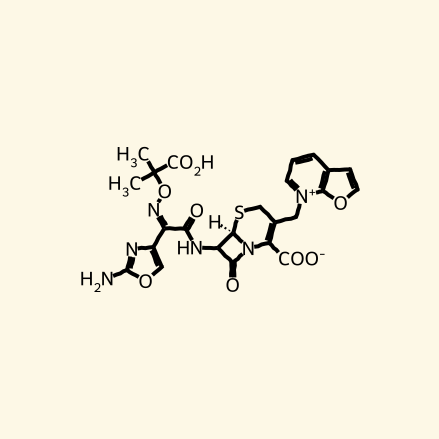 CC(C)(O/N=C(\C(=O)NC1C(=O)N2C(C(=O)[O-])=C(C[n+]3cccc4ccoc43)CS[C@H]12)c1coc(N)n1)C(=O)O